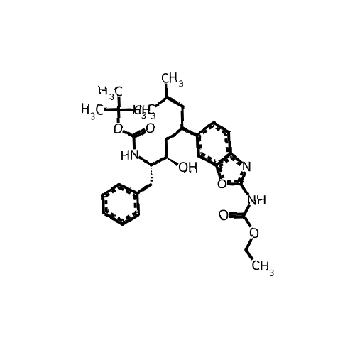 CCOC(=O)Nc1nc2ccc(C(CC(C)C)C[C@@H](O)[C@H](Cc3ccccc3)NC(=O)OC(C)(C)C)cc2o1